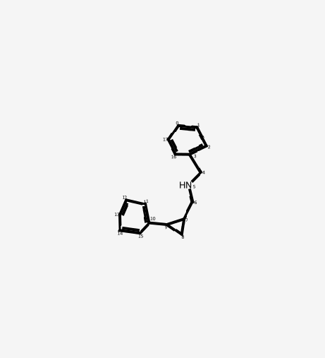 c1ccc(CNCC2CC2c2ccccc2)cc1